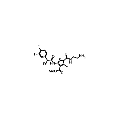 CCC(C(=O)Nc1sc(C(=O)NCCN)c(C)c1C(=O)OC)c1ccc(F)c(F)c1